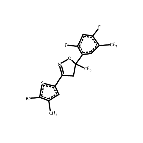 Cc1cc(C2=NOC(c3cc(C(F)(F)F)c(F)cc3F)(C(F)(F)F)C2)sc1Br